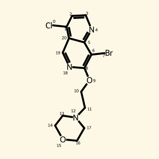 Clc1ccnc2c(Br)c(OCCN3CCOCC3)ncc12